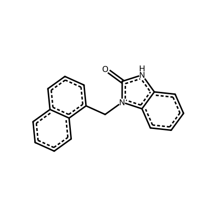 O=c1[nH]c2ccccc2n1Cc1cccc2ccccc12